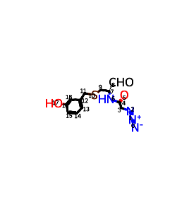 [N-]=[N+]=NCC(=O)N[C@@H](C=O)CSCc1cccc(O)c1